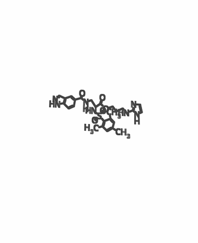 Cc1cc(C)c(S(=O)(=O)NC(CNC(=O)c2ccc3[nH]ncc3c2)C(=O)OCCCNc2ncc[nH]2)c(C)c1